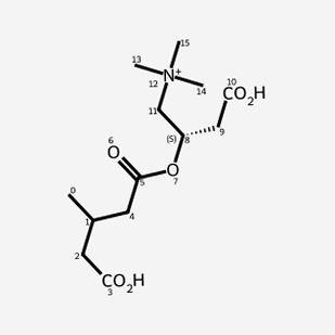 CC(CC(=O)O)CC(=O)O[C@@H](CC(=O)O)C[N+](C)(C)C